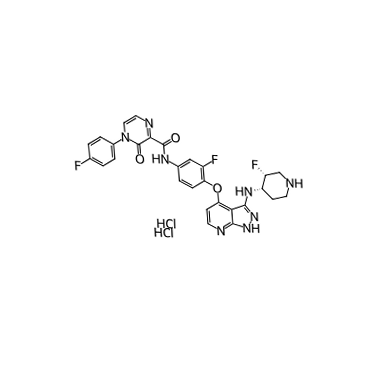 Cl.Cl.O=C(Nc1ccc(Oc2ccnc3[nH]nc(N[C@H]4CCNC[C@H]4F)c23)c(F)c1)c1nccn(-c2ccc(F)cc2)c1=O